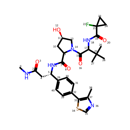 CNC(=O)C[C@H](NC(=O)C1C[C@@H](O)CN1C(=O)C(NC(=O)C1(F)CC1)C(C)(C)C)c1ccc(-c2scnc2C)cc1